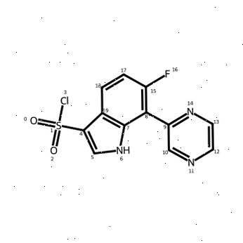 O=S(=O)(Cl)c1c[nH]c2c(-c3cnccn3)c(F)ccc12